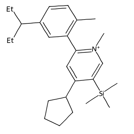 CCC(CC)c1ccc(C)c(-c2cc(C3CCCC3)c([Si](C)(C)C)c[n+]2C)c1